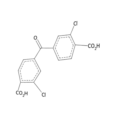 O=C(c1ccc(C(=O)O)c(Cl)c1)c1ccc(C(=O)O)c(Cl)c1